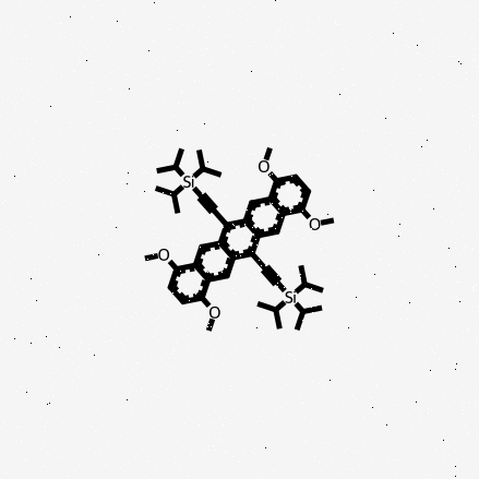 COc1ccc(OC)c2cc3c(C#C[Si](C(C)C)(C(C)C)C(C)C)c4cc5c(OC)ccc(OC)c5cc4c(C#C[Si](C(C)C)(C(C)C)C(C)C)c3cc12